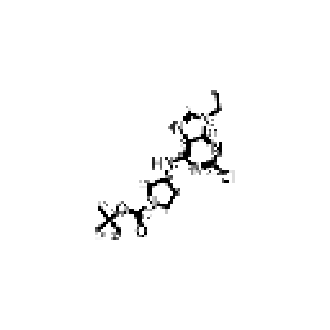 CCn1cnc2c(N[C@H]3CCN(C(=O)OC(C)(C)C)C3)nc(Cl)nc21